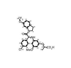 COc1cc(NC(C(=O)N2CCc3ccc(OC(F)(F)F)cc32)c2ccc(Cl)cc2)cc(OC(C)C(=O)O)c1